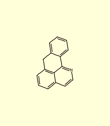 c1ccc2c(c1)Cc1cccc3ccnc-2c13